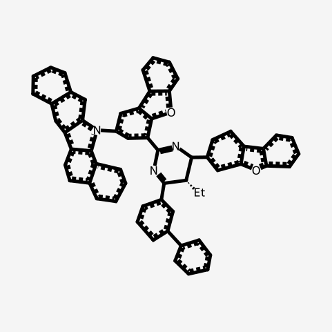 CC[C@@H]1C(c2cccc(-c3ccccc3)c2)=NC(c2cc(-n3c4cc5ccccc5cc4c4ccc5ccccc5c43)cc3c2oc2ccccc23)=NC1c1ccc2c(c1)oc1ccccc12